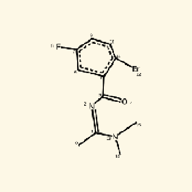 CC(=NC(=O)c1cc(F)ccc1Br)N(C)C